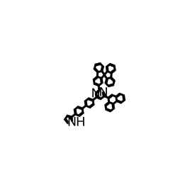 c1c[nH]c(-c2ccc(-c3ccc(-c4cc(-c5cc6ccccc6c6ccccc56)nc(-c5ccc6c(c5)C5(c7ccccc7-c7ccccc75)c5ccccc5-6)n4)cc3)cc2)c1